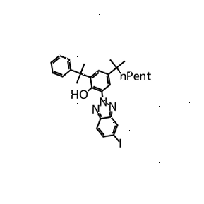 CCCCCC(C)(C)c1cc(-n2nc3ccc(I)cc3n2)c(O)c(C(C)(C)c2ccccc2)c1